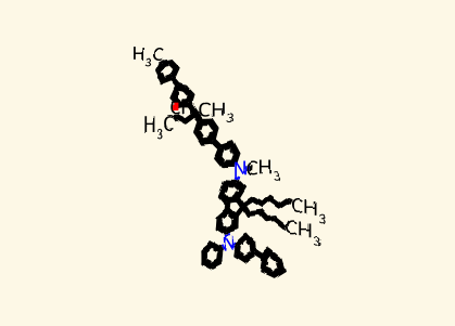 CCCCCCC1(CCCCCC)c2cc(N(C)c3ccc(-c4ccc(C(C)(CC(C)C)c5ccc(-c6ccc(C)cc6)cc5)cc4)cc3)ccc2-c2ccc(N(c3ccccc3)c3ccc(-c4ccccc4)cc3)cc21